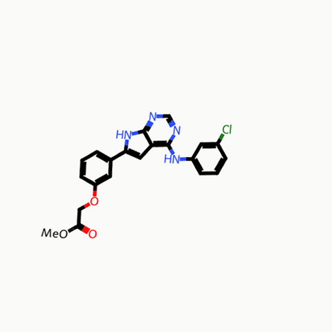 COC(=O)COc1cccc(-c2cc3c(Nc4cccc(Cl)c4)ncnc3[nH]2)c1